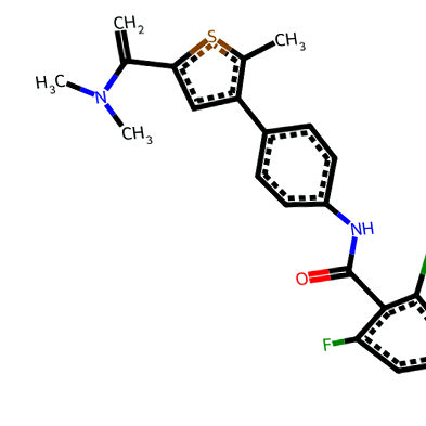 C=C(c1cc(-c2ccc(NC(=O)c3c(F)cccc3F)cc2)c(C)s1)N(C)C